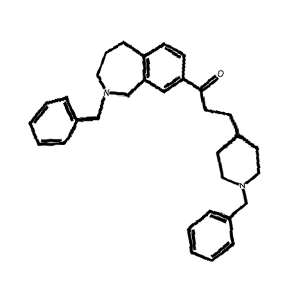 O=C(CCC1CCN(Cc2ccccc2)CC1)c1ccc2c(c1)CN(Cc1ccccc1)CCC2